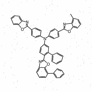 Cc1cccc2oc(-c3ccc(N(c4ccc(-c5nc6ccccc6o5)cc4)c4ccc(-c5nc6cccc(-c7ccccc7)c6o5)c(-c5ccccc5)c4)cc3)nc12